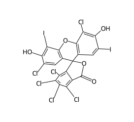 O=C1OC2(c3cc(I)c(O)c(Cl)c3Oc3c2cc(Cl)c(O)c3I)c2c(Cl)c(Cl)c(Cl)c(Cl)c21